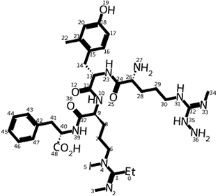 CC/C(=N/C)N(I)CCC[C@H](NC(=O)[C@H](Cc1ccc(O)cc1C)NC(=O)[C@H](N)CCCN/C(=N\C)NN)C(=O)N[C@@H](Cc1ccccc1)C(=O)O